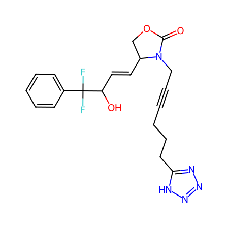 O=C1OCC(C=CC(O)C(F)(F)c2ccccc2)N1CC#CCCCc1nnn[nH]1